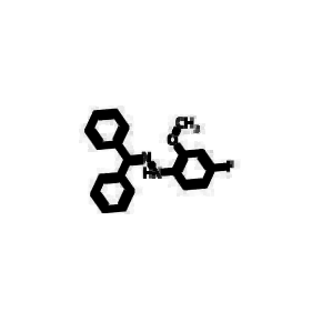 COc1cc(F)ccc1NN=C(c1ccccc1)c1ccccc1